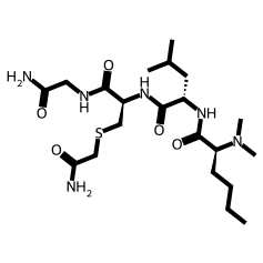 CCCC[C@@H](C(=O)N[C@@H](CC(C)C)C(=O)N[C@@H](CSCC(N)=O)C(=O)NCC(N)=O)N(C)C